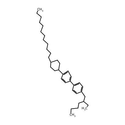 CCCCCCCCCCCCC1CCC(c2ccc(-c3ccc(CC(CC)CCCC)cc3)cc2)CC1